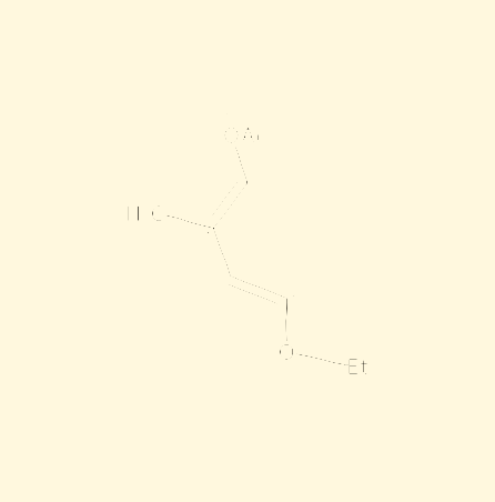 CCOC=CC(C)=COC(C)=O